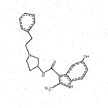 Cc1[nH]c2ccc(O)cc2c1C(=O)NC1CCN(CCc2ccccc2)C1